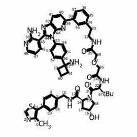 Cc1ncsc1-c1ccc(CNC(=O)[C@@H]2C[C@@H](O)CN2C(=O)[C@@H](NC(=O)COCC(=O)NCCc2cccc(-c3ccc4nc(-c5cccnc5N)n(-c5ccc(C6(N)CCC6)cc5)c4n3)c2)C(C)(C)C)cc1